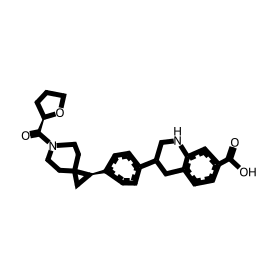 O=C(O)c1ccc2c(c1)NCC(c1ccc([C@H]3CC34CCN(C(=O)[C@H]3CCCO3)CC4)cc1)C2